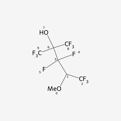 COC(C(F)(F)F)C(F)(F)C(O)(C(F)(F)F)C(F)(F)F